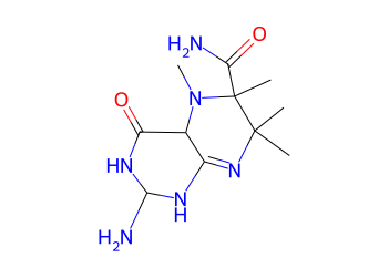 CN1C2C(=O)NC(N)NC2=NC(C)(C)C1(C)C(N)=O